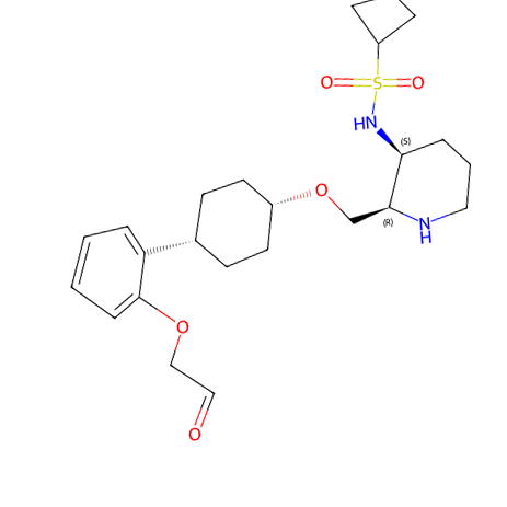 O=CCOc1ccccc1[C@H]1CC[C@@H](OC[C@@H]2NCCC[C@@H]2NS(=O)(=O)C2CCC2)CC1